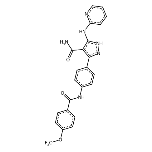 NC(=O)c1c(-c2ccc(NC(=O)c3ccc(OC(F)(F)F)cc3)cc2)n[nH]c1Nc1ccccn1